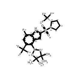 CC1(C)OB(c2c(C(F)(F)F)cc(F)c3[nH]c(S(=O)(=O)N4CCC[C@H]4C(F)(F)F)cc23)OC1(C)C